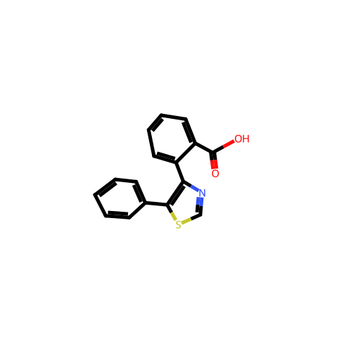 O=C(O)c1ccccc1-c1ncsc1-c1ccccc1